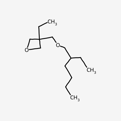 CCCCC(CC)COCC1(CC)COC1